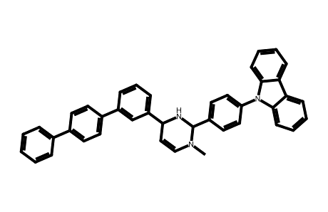 CN1C=CC(c2cccc(-c3ccc(-c4ccccc4)cc3)c2)NC1c1ccc(-n2c3ccccc3c3ccccc32)cc1